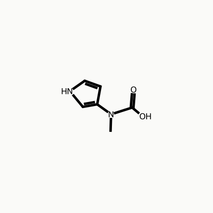 CN(C(=O)O)c1cc[nH]c1